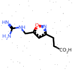 N=C(N)NCc1cc(CCC(=O)O)no1